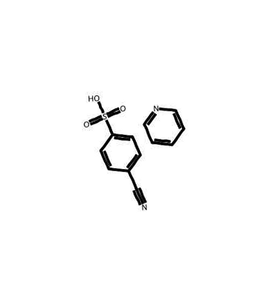 N#Cc1ccc(S(=O)(=O)O)cc1.c1ccncc1